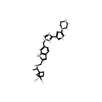 CC(NCc1cc2ccc(Cn3cnc(-c4cncc(N5CCOCC5)c4)n3)cc2[nH]1)C12CC(C1)[C@@H](F)C2